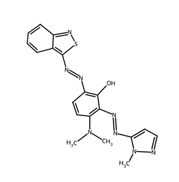 CN(C)c1ccc(/N=N/c2snc3ccccc23)c(O)c1/N=N/c1ccnn1C